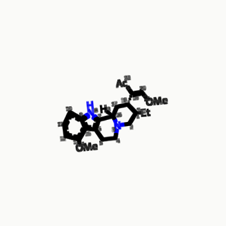 CC[C@H]1CN2CCc3c([nH]c4cccc(OC)c34)[C@@H]2C[C@@H]1/C(=C\OC)C(C)=O